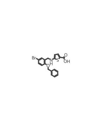 O=C(O)c1ccc(NCc2cc(Br)ccc2OCc2ccccc2)s1